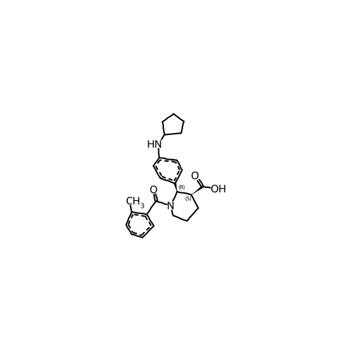 Cc1ccccc1C(=O)N1CCC[C@H](C(=O)O)[C@@H]1c1ccc(NC2CCCC2)cc1